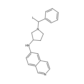 IC(c1ccccc1)N1CCC(Nc2ccc3cnccc3c2)C1